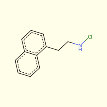 ClNCCc1cccc2ccccc12